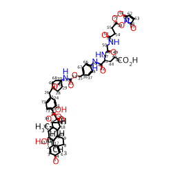 C[C@]12C=CC(=O)C=C1CC[C@@H]1[C@@H]2[C@@H](O)C[C@@]2(C)[C@H]1C[C@H]1OC(c3ccc(CC45CCC(NC(=O)OCc6ccc(NC(=O)[C@H](CCC(=O)O)NC(=O)CNC(=O)CCC(=O)ON7C(=O)C=CC7=O)cc6)(CC4)CO5)cc3)O[C@]12C(=O)CO